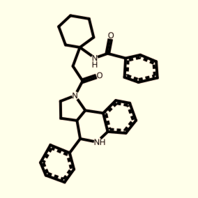 O=C(NC1(CC(=O)N2CCC3C(c4ccccc4)Nc4ccccc4C32)CCCCC1)c1ccccc1